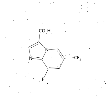 O=C(O)c1cnc2c(F)cc(C(F)(F)F)cn12